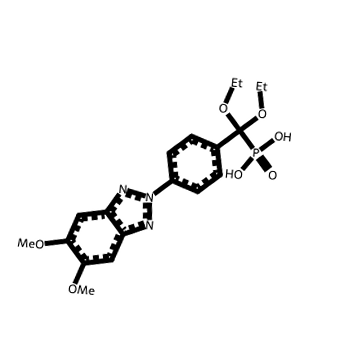 CCOC(OCC)(c1ccc(-n2nc3cc(OC)c(OC)cc3n2)cc1)P(=O)(O)O